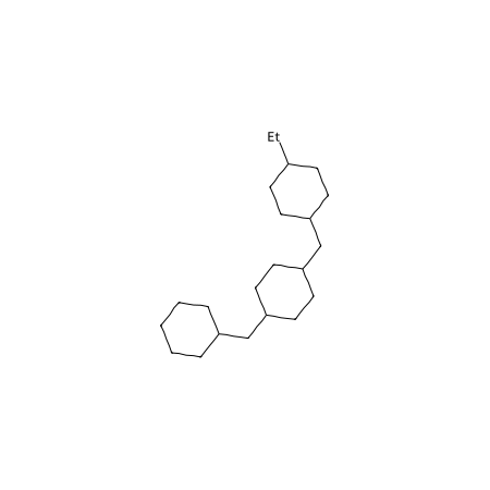 CCC1CCC(CC2CCC(CC3CCCCC3)CC2)CC1